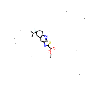 CCOC(=O)c1nc2cc3c(nc2s1)CCC(F)(C(C)C)C3